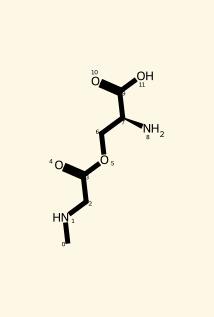 CNCC(=O)OC[C@H](N)C(=O)O